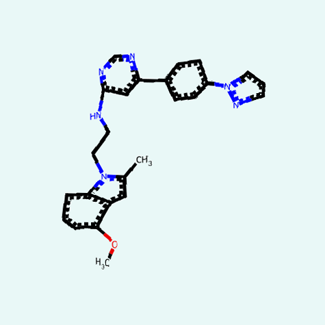 COc1cccc2c1cc(C)n2CCNc1cc(-c2ccc(-n3cccn3)cc2)ncn1